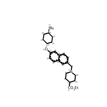 CCOC(=O)C1CCN(Cc2ccc3cc(O[C@H]4CC[C@H](C(C)(C)C)CC4)ccc3c2)CC1